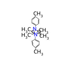 Cc1ccc(N2[Si](C)(C)N(c3ccc(C)cc3)[Si]2(C)C)cc1